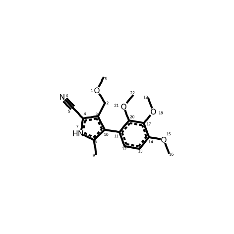 COCc1c(C#N)[nH]c(C)c1-c1ccc(OC)c(OC)c1OC